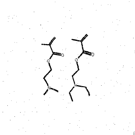 C=C(C)C(=O)OCCN(C)C.C=C(C)C(=O)OCCN(CC)CC